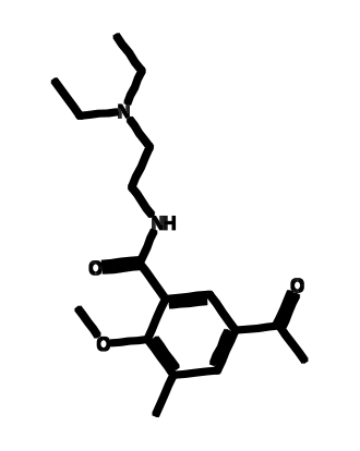 CCN(CC)CCNC(=O)c1cc(C(C)=O)cc(C)c1OC